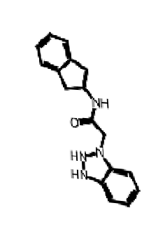 O=C(CN1NNc2ccccc21)NC1Cc2ccccc2C1